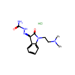 CC(C)N(CCN1C(=O)C(=NNC(N)=O)c2ccccc21)C(C)C.Cl